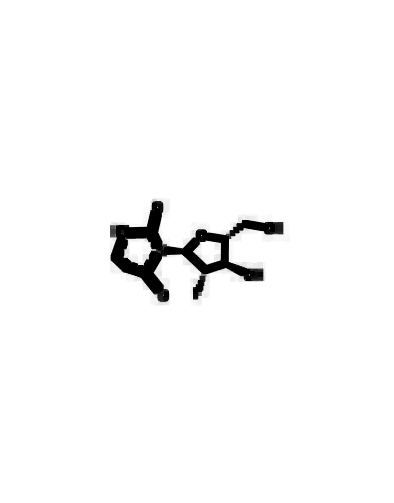 O=c1cc[nH]c(=O)n1[C@H]1O[C@H](CO)[C@@H](O)[C@@H]1F